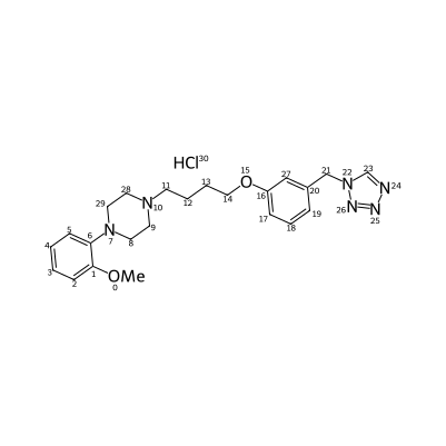 COc1ccccc1N1CCN(CCCCOc2cccc(Cn3cnnn3)c2)CC1.Cl